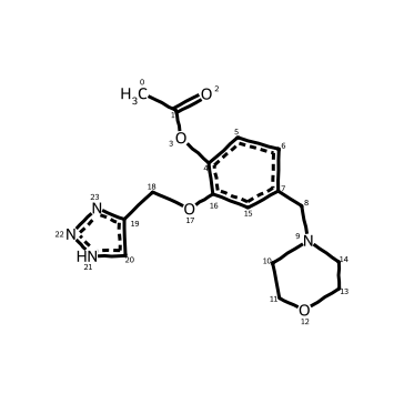 CC(=O)Oc1ccc(CN2CCOCC2)cc1OCc1c[nH]nn1